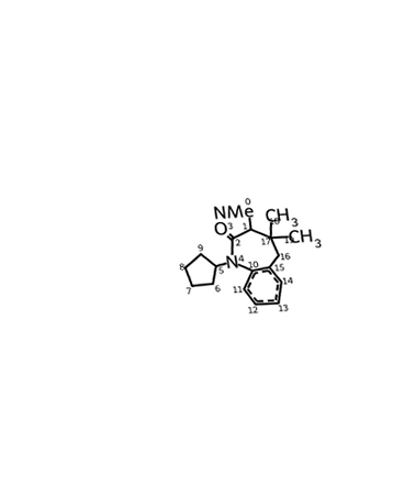 CNC1C(=O)N(C2CCCC2)c2ccccc2CC1(C)C